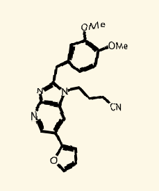 COc1ccc(Cc2nc3ncc(-c4ccco4)cc3n2CCCC#N)cc1OC